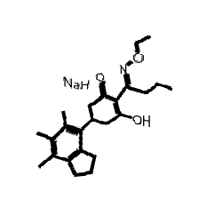 CCCC(=NOCC)C1=C(O)CC(c2c(C)c(C)c(C)c3c2CCC3)CC1=O.[NaH]